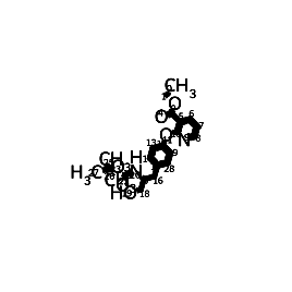 CCOC(=O)c1cccnc1Oc1ccc(CC(CO)NC(=O)OC(C)(C)C)cc1